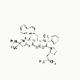 CN(C)C[C@@H]1CCCN1C(=O)C(c1ccccc1)N(C)C(=O)[C@@H](Cc1ccc2ccccc2c1)N(C)C(=O)/C=C/CC(C)(C)N